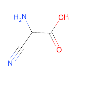 N#CC(N)C(=O)O